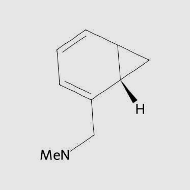 CNCC1=CC=CC2C[C@H]12